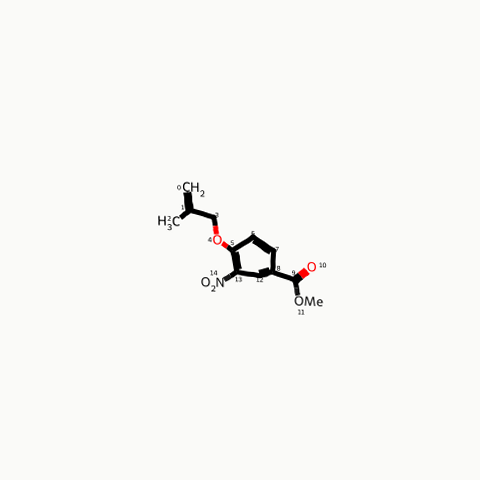 C=C(C)COc1ccc(C(=O)OC)cc1[N+](=O)[O-]